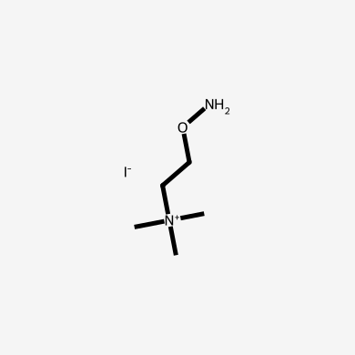 C[N+](C)(C)CCON.[I-]